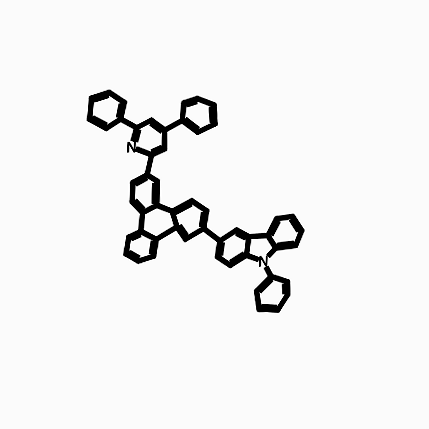 c1ccc(-c2cc(-c3ccccc3)nc(-c3ccc4c5ccccc5c5cc(-c6ccc7c(c6)c6ccccc6n7-c6ccccc6)ccc5c4c3)c2)cc1